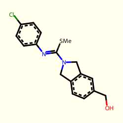 CS/C(=N\c1ccc(Cl)cc1)N1Cc2ccc(CO)cc2C1